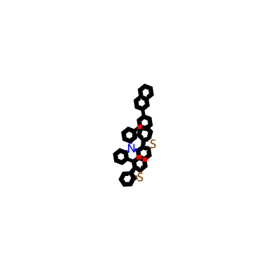 c1cc(-c2cccc(N(c3ccccc3-c3cccc4sc5ccccc5c34)c3cccc4sc5ccccc5c34)c2)cc(-c2ccc3ccccc3c2)c1